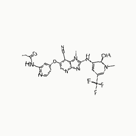 CC(=O)Nc1cc(Oc2cnc3nc(NC4=CC(C(F)(F)F)=CN(C)C4O)n(C)c3c2C#N)ccn1